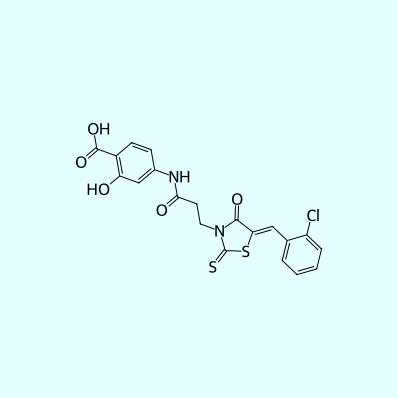 O=C(CCN1C(=O)/C(=C/c2ccccc2Cl)SC1=S)Nc1ccc(C(=O)O)c(O)c1